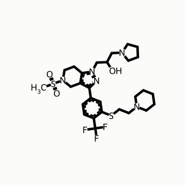 CS(=O)(=O)N1CCc2c(c(-c3ccc(C(F)(F)F)c(SCCN4CCCCC4)c3)nn2CC(O)CN2CCCC2)C1